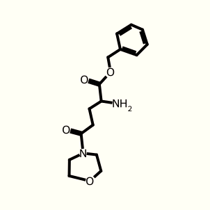 NC(CCC(=O)N1CCOCC1)C(=O)OCc1ccccc1